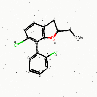 CNCC1Cc2ccc(Cl)c(-c3ccccc3Cl)c2O1